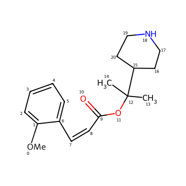 COc1ccccc1/C=C\C(=O)OC(C)(C)C1CCNCC1